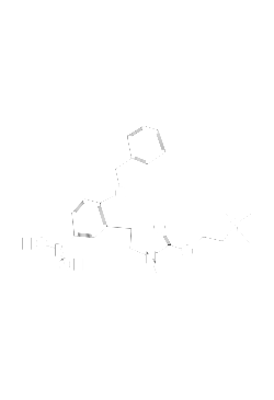 CN(CCc1cc(B(O)O)ccc1OCc1ccccc1)C(=O)OCCS(C)(C)C